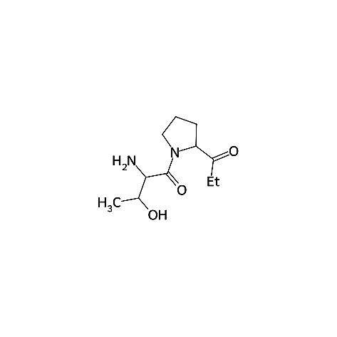 CCC(=O)C1CCCN1C(=O)C(N)C(C)O